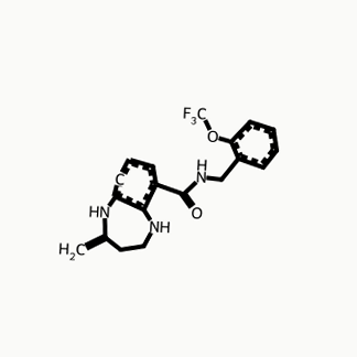 C=C1CCNc2c(cccc2C(=O)NCc2ccccc2OC(F)(F)F)N1